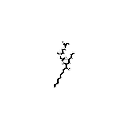 CCCCCCCCC(O)C(CCCCC)OC(=O)CN(C)CCOC(C)=O